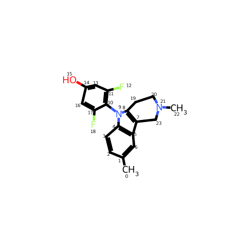 Cc1ccc2c(c1)c1c(n2-c2c(F)cc(O)cc2F)CCN(C)C1